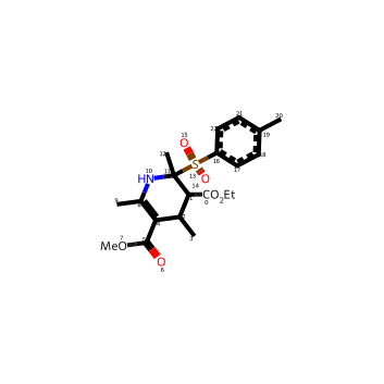 CCOC(=O)C1C(C)C(C(=O)OC)=C(C)NC1(C)S(=O)(=O)c1ccc(C)cc1